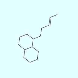 CC=CCCC1CCCC2CCCCC12